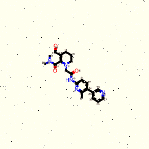 Cc1nc(NC(=O)CN2CCCC(C=O)=C2C(=O)N(C)C)ccc1-c1cccnc1